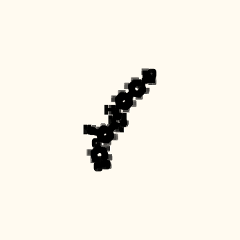 N#Cc1cc(-c2ncnc(Nc3ccc(C4CCN(C5COC5)CC4)cc3)n2)ccc1OC1CCS(=O)(=O)CC1